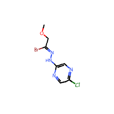 COCC(Br)=NNc1cnc(Cl)cn1